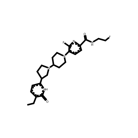 CCc1ccc(C2CCN(C3CCN(c4ccc(C(=O)NCCF)nc4F)CC3)C2)[nH]c1=O